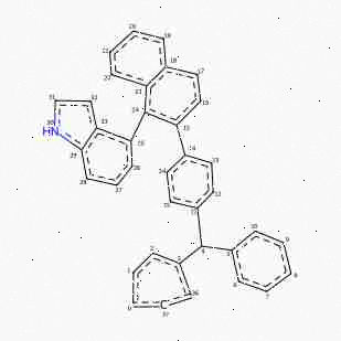 c1ccc(C(c2ccccc2)c2ccc(-c3ccc4ccccc4c3-c3cccc4[nH]ccc34)cc2)cc1